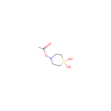 CC(=O)ON1CCS(O)(O)CC1